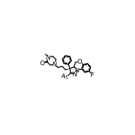 CC(=O)C1=NN2c3cc(F)ccc3OCC2[C@@]1(CCCN1CCN(C)C(=O)C1)c1ccccc1